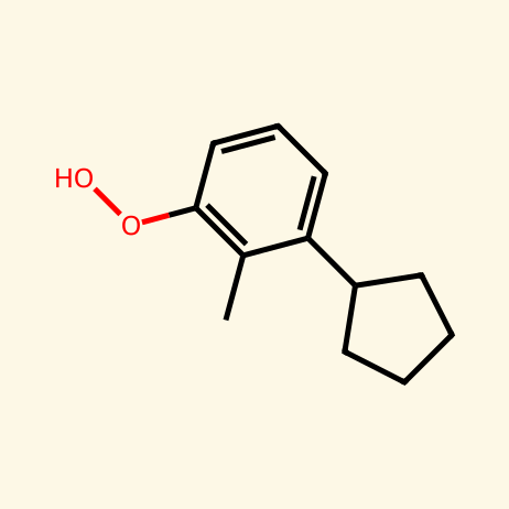 Cc1c(OO)cccc1C1CCCC1